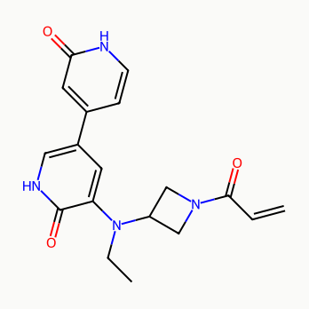 C=CC(=O)N1CC(N(CC)c2cc(-c3cc[nH]c(=O)c3)c[nH]c2=O)C1